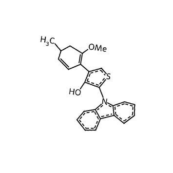 COC1=C(c2csc(-n3c4ccccc4c4ccccc43)c2O)C=CC(C)C1